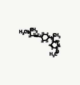 COc1ccc(N(C)C2CCC(C#CCN(C)C)CC2)nn1